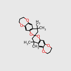 CC1(C)CC2(CC(C)(C)c3cc4c(cc3O2)OCCCO4)Oc2cc3c(cc21)OCCCO3